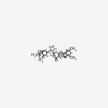 Cc1cc(C)n2nc(CC3=C(O)C[C@](CCc4ccc(C(C)(C)C#N)c(F)c4)(C4CCCC4)OC3=O)nc2n1